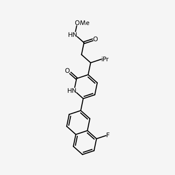 CONC(=O)CC(c1ccc(-c2ccc3cccc(F)c3c2)[nH]c1=O)C(C)C